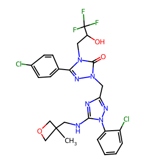 CC1(CNc2nc(Cn3nc(-c4ccc(Cl)cc4)n(CC(O)C(F)(F)F)c3=O)nn2-c2ccccc2Cl)COC1